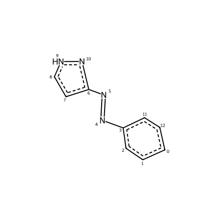 c1ccc(/N=N/c2cc[nH]n2)cc1